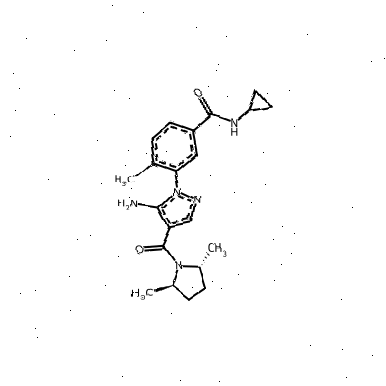 Cc1ccc(C(=O)NC2CC2)cc1-n1ncc(C(=O)N2[C@H](C)CC[C@H]2C)c1N